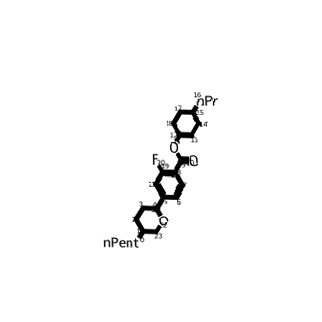 CCCCCC1CCC(c2ccc(C(=O)OC3CCC(CCC)CC3)c(F)c2)OC1